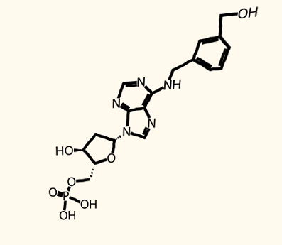 O=P(O)(O)OC[C@H]1O[C@@H](n2cnc3c(NCc4cccc(CO)c4)ncnc32)C[C@@H]1O